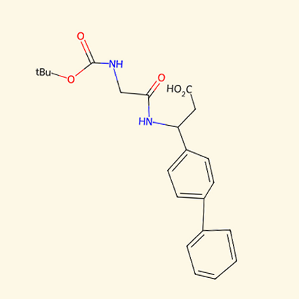 CC(C)(C)OC(=O)NCC(=O)NC(CC(=O)O)c1ccc(-c2ccccc2)cc1